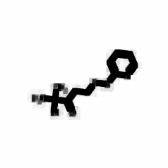 CCC(C)(C)C(=O)CCSSc1ccccn1